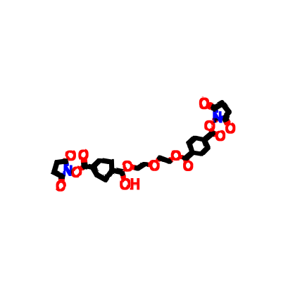 O=C(OCCOCCOC(O)C1CCC(C(=O)ON2C(=O)CCC2=O)CC1)C1CCC(C(=O)ON2C(=O)CCC2=O)CC1